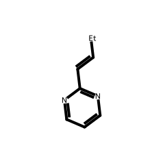 [CH2]C/C=C/c1ncccn1